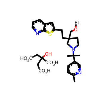 CCOCC1(CCc2cc3cccnc3s2)CCN(C(C)(C)c2ccc(C)nc2)C1.O=C(O)CC(O)(CC(=O)O)C(=O)O